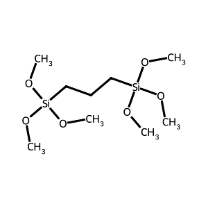 CO[Si](CCC[Si](OC)(OC)OC)(OC)OC